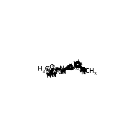 Cn1cc(-c2cccc(N3CC4C(C3)C4c3noc(Cn4cnc5ncn(C)c5c4=O)n3)c2)cn1